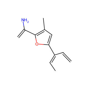 C=C/C(=C\C)c1cc(C)c(C(=C)N)o1